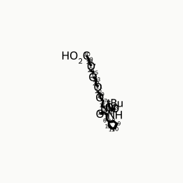 CC(C)(C)OC(=O)NC(Cc1ccccc1)C(=O)NCCOCCOCCOCCOCCC(=O)O